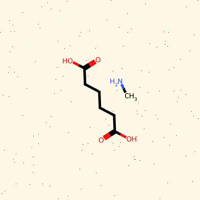 CN.O=C(O)CCCCC(=O)O